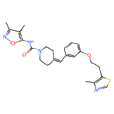 Cc1ncsc1CCOc1cccc(C=C2CCN(C(=O)Nc3onc(C)c3C)CC2)c1